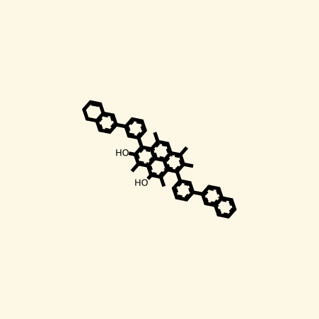 Cc1c(C)c2cc(C)c3c(-c4cccc(-c5ccc6c(c5)C=CCC6)c4)c(O)c(C)c4c(O)c(C)c(c1-c1cccc(-c5ccc6ccccc6c5)c1)c2c43